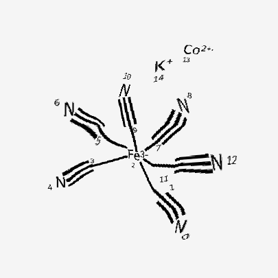 N#[C][Fe-3]([C]#N)([C]#N)([C]#N)([C]#N)[C]#N.[Co+2].[K+]